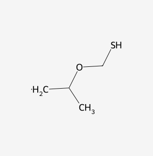 [CH2]C(C)OCS